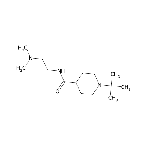 CN(C)CCNC(=O)C1CCN(C(C)(C)C)CC1